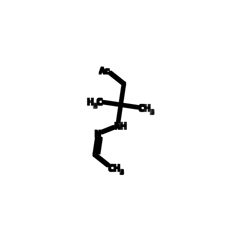 C/C=N\NC(C)(C)CC(C)=O